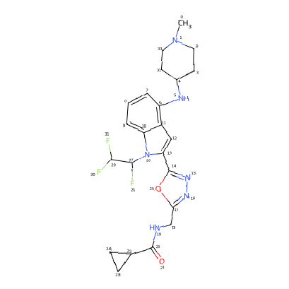 CN1CCC(Nc2cccc3c2cc(-c2nnc(CNC(=O)C4CC4)o2)n3C(F)C(F)F)CC1